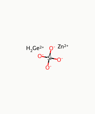 [GeH2+2].[O-][Si]([O-])([O-])[O-].[Zn+2]